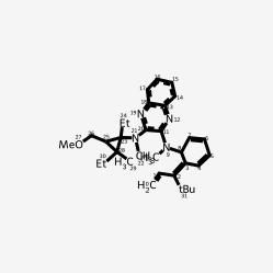 C=C/C(=C1/C=CC=CC1N(C)c1nc2ccccc2nc1N(C)C1(CC)C(COC)C1(C)CC)C(C)(C)C